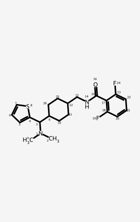 CN(C)C(c1cccs1)C1CCC(CNC(=O)c2c(F)cccc2F)CC1